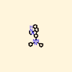 C1=CNC(c2c(-c3ccc(-c4nc(-c5ccccc5)nc(-c5ccccc5)n4)cc3)ccc3ccccc23)N=C1